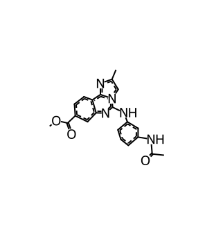 COC(=O)c1ccc2c(c1)nc(Nc1cccc(NC(C)=O)c1)n1cc(C)nc21